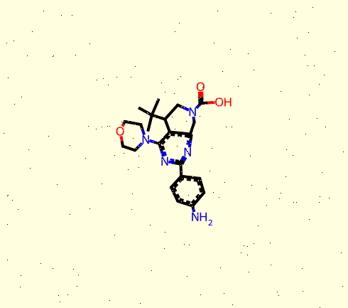 CC(C)(C)C1CN(C(=O)O)Cc2nc(-c3ccc(N)cc3)nc(N3CCOCC3)c21